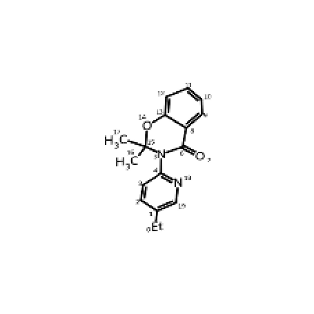 CCc1ccc(N2C(=O)c3ccccc3OC2(C)C)nc1